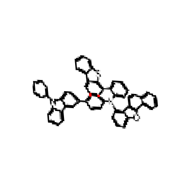 c1ccc(-n2c3ccccc3c3cc(-c4ccc(N(c5ccccc5-c5cccc6c5sc5ccccc56)c5cccc6oc7c8ccccc8ccc7c56)cc4)ccc32)cc1